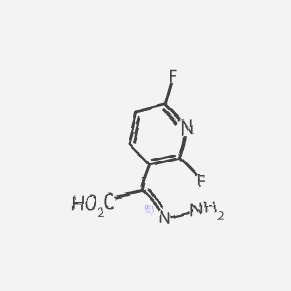 N/N=C(/C(=O)O)c1ccc(F)nc1F